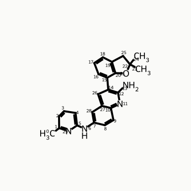 Cc1cccc(Nc2ccc3nc(N)c(-c4cccc5c4OC(C)(C)C5)cc3c2)n1